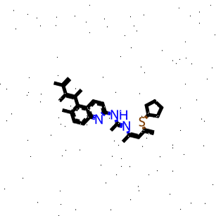 C=C(/C=C(C)\N=C(/C)Nc1ccc2c(/C(C)=C(\C)C(=C)C)c(C)ccc2n1)SC1CCCC1